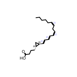 CCCCC/C=C\C\C=C/C=C/C=C/[C@@H]1C[C@H]1CCCC(=O)O